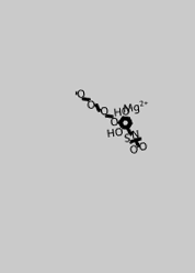 COCCOCCOCCOc1cccc(C2=NC(C)(C(=O)[O-])CS2)c1O.[Mg+2].[OH-]